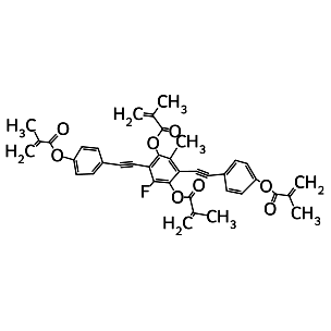 C=C(C)C(=O)Oc1ccc(C#Cc2c(F)c(OC(=O)C(=C)C)c(C#Cc3ccc(OC(=O)C(=C)C)cc3)c(C)c2OC(=O)C(=C)C)cc1